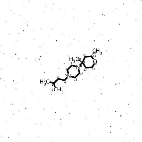 CC(C)CCN1CCN([C@@]2(C)CCO[C@@H](C)C2)CC1